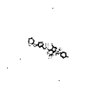 Cc1ccc(S(=O)(=O)n2cc(I)c3c(NCc4cncc(OC5CCCCO5)c4)nc(Cl)nc32)cc1